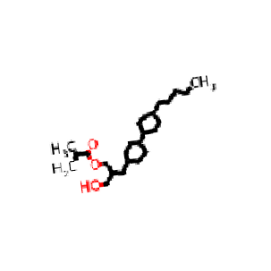 C=C(C)C(=O)OCC(CO)CC1CCC(C2CCC(CCCCC)CC2)CC1